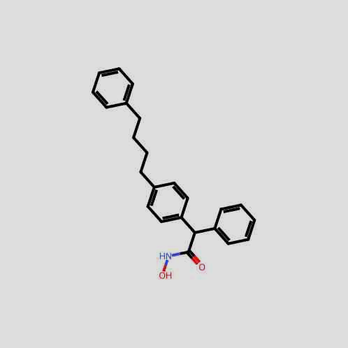 O=C(NO)C(c1ccccc1)c1ccc(CCCCc2ccccc2)cc1